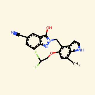 Cc1cc(OCC(F)F)c(Cn2nc3ccc(C#N)cc3c2O)c2cc[nH]c12